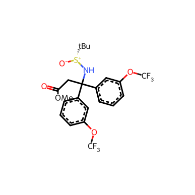 COC(=O)CC(N[S@+]([O-])C(C)(C)C)(c1cccc(OC(F)(F)F)c1)c1cccc(OC(F)(F)F)c1